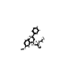 COc1ccc2nc(-c3ccccc3)cc(NC(=N)NC=O)c2c1